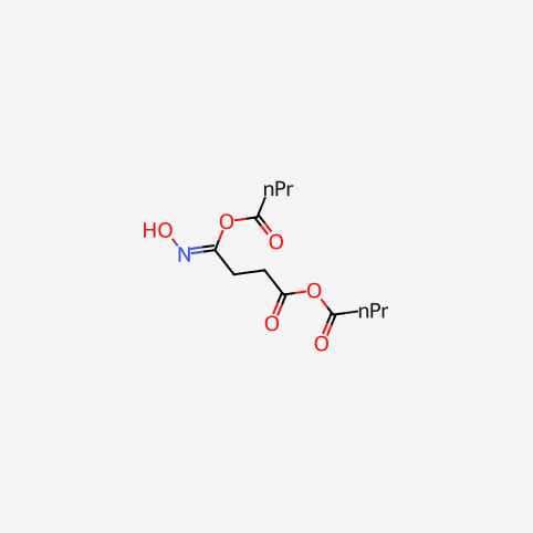 CCCC(=O)OC(=O)CC/C(=N/O)OC(=O)CCC